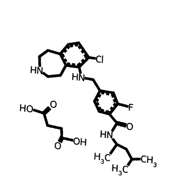 CC(C)CC(C)NC(=O)c1ccc(CNc2c(Cl)ccc3c2CCNCC3)cc1F.O=C(O)CCC(=O)O